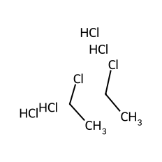 CCCl.CCCl.Cl.Cl.Cl.Cl